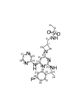 CCS(=O)(=O)NCC1CN(c2cc(Nc3cnccn3)nc(NC(C)c3ccc(F)cc3)n2)C1